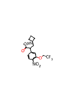 COC(=O)C(CC1CCC1)c1ccc([N+](=O)[O-])c(OCC(F)(F)F)c1